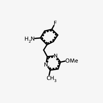 COc1cc(C)nc(Cc2ccc(F)cc2N)n1